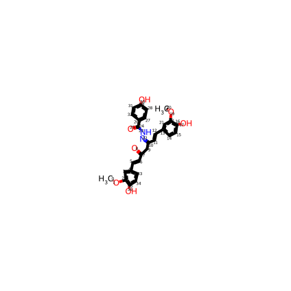 COc1cc(C=CC(=O)CC(C=Cc2ccc(O)c(OC)c2)=NNC(=O)c2ccc(O)cc2)ccc1O